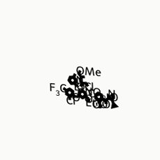 CCOc1cc(Oc2ccc(C(F)(F)F)cc2Cl)ccc1[N+](=O)[O-].CCc1cccc(C)c1N(C(=O)CCl)C(C)COC.CS(=O)(=O)c1cc(C(F)(F)F)ccc1C(=O)c1cnoc1C1CC1